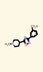 CN1CCC(c2nc(-c3cccc(C(=O)O)c3)no2)CC1